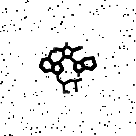 COC(CN(C)C)Cn1cc(C2=C(c3c[nH]c4ccccc34)C(=O)NC2=O)c2c(SC)cccc21